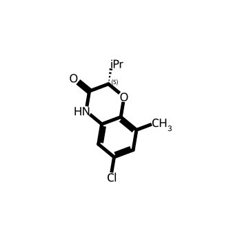 Cc1cc(Cl)cc2c1O[C@@H](C(C)C)C(=O)N2